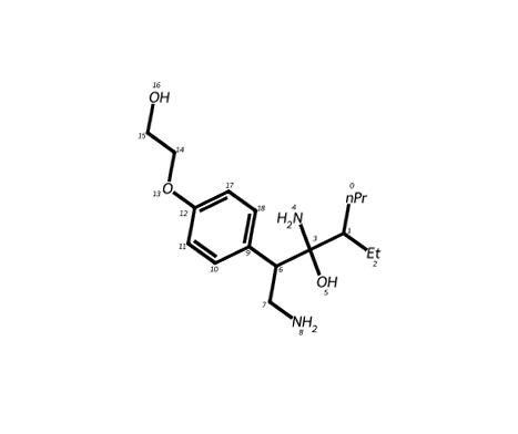 CCCC(CC)C(N)(O)C(CN)c1ccc(OCCO)cc1